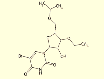 CCOC1C(COC(C)C)OC(n2cc(Br)c(=O)[nH]c2=O)C1O